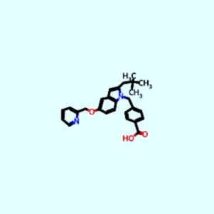 CC(C)(C)Cc1cc2cc(OCc3ccccn3)ccc2n1Cc1ccc(C(=O)O)cc1